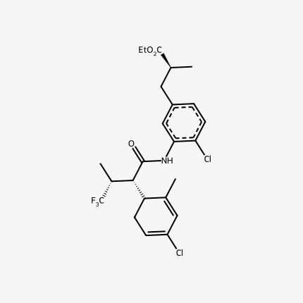 CCOC(=O)[C@@H](C)Cc1ccc(Cl)c(NC(=O)[C@H](C2CC=C(Cl)C=C2C)[C@@H](C)C(F)(F)F)c1